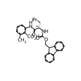 Cc1cccc(NC(=O)[C@H](CC(C)C)NC(=O)OCC2c3ccccc3-c3ccccc32)c1C(=O)O